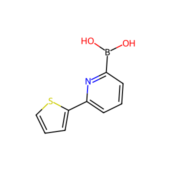 OB(O)c1cccc(-c2cccs2)n1